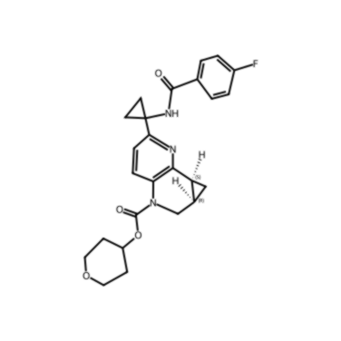 O=C(NC1(c2ccc3c(n2)[C@H]2C[C@H]2CN3C(=O)OC2CCOCC2)CC1)c1ccc(F)cc1